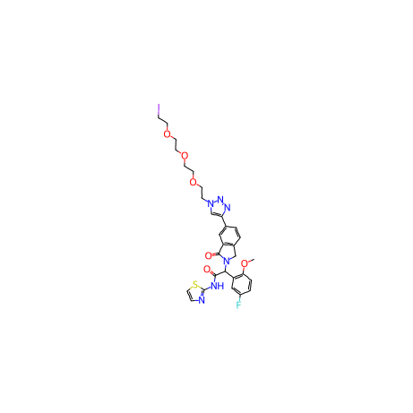 COc1ccc(F)cc1C(C(=O)Nc1nccs1)N1Cc2ccc(-c3cn(CCOCCOCCOCCI)nn3)cc2C1=O